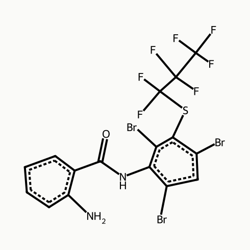 Nc1ccccc1C(=O)Nc1c(Br)cc(Br)c(SC(F)(F)C(F)(F)C(F)(F)F)c1Br